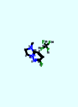 CN1CC[n+]2nc(F)ccc21.F[B-](F)(F)F